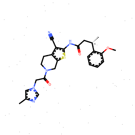 COc1ccccc1[C@@H](C)CC(=O)Nc1sc2c(c1C#N)CCN(C(=O)Cn1cnc(C)c1)C2